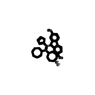 CC(C)(C)c1ccc2c(c1)[CH]([Zr+2]([C]1=CC=CC1)=[Si](C1CCCCCC1)C1CCCCCC1)c1cc(C(C)(C)C)ccc1-2.[Cl-].[Cl-]